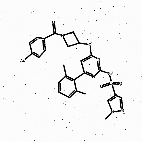 CC(=O)c1ccc(C(=O)N2CC(Oc3cc(-c4c(C)cccc4C)nc(NS(=O)(=O)c4cnn(C)c4)n3)C2)cc1